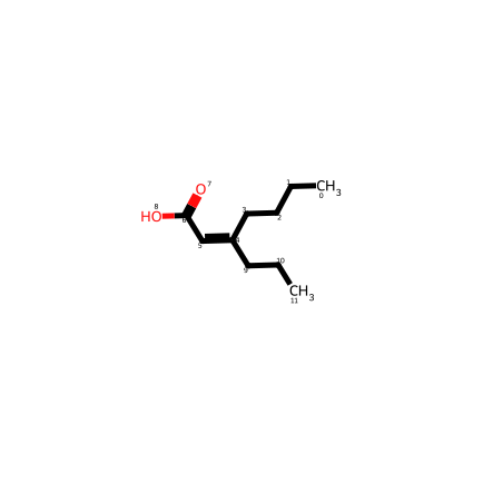 CCCC/C(=C\C(=O)O)CCC